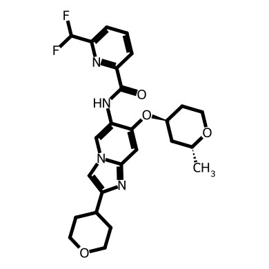 C[C@@H]1C[C@@H](Oc2cc3nc(C4CCOCC4)cn3cc2NC(=O)c2cccc(C(F)F)n2)CCO1